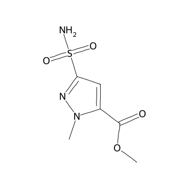 COC(=O)c1cc(S(N)(=O)=O)nn1C